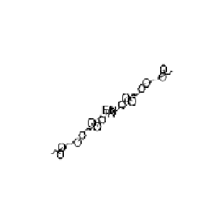 C=CC(=O)OCCCCOc1ccc(/C=C/C(=O)Oc2ccc(/C=N/N=C(\CC)c3ccc(OC(=O)/C=C/c4ccc(OCCCCOC(=O)C=C)cc4)cc3)cc2)cc1